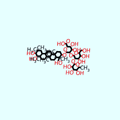 CC1OC(OC2C(OC3C(OC4CCC5(C)C(CCC6(C)C5CC=C5C7CC(C)(C)C(O)C(O)C7(C)CCC56C)C4(C)CO)OC(C(=O)O)C(O)C3O)OC(CO)C(O)C2O)C(O)C(O)C1O